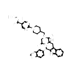 O=C(NO)c1cnc(N2CCC(CN3CC(=O)N4[C@H](c5ccc6c(c5)OCO6)c5[nH]c6ccccc6c5C[C@H]4C3=O)CC2)nc1